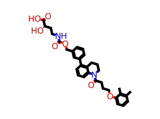 Cc1cccc(OCCCC(=O)N2CCCc3c(-c4cccc(COC(=O)NCC[C@H](O)C(=O)O)c4)cccc32)c1C